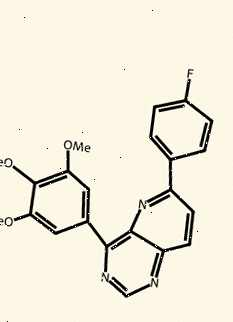 COc1cc(-c2ncnc3ccc(-c4ccc(F)cc4)nc23)cc(OC)c1OC